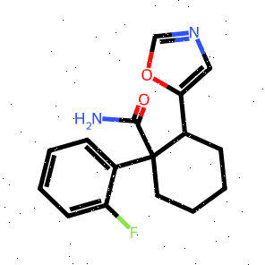 NC(=O)C1(c2ccccc2F)CCCCC1c1cnco1